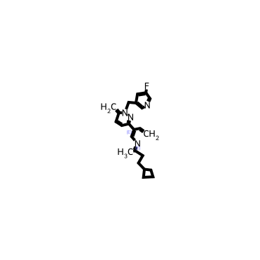 C=C/C(=C\N=C(/C)CCC1CCC1)C1=NN(Cc2cncc(F)c2)C(=C)C=C1